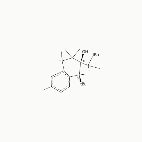 CC(C)(C)C(C)(C)[C@@]1(O)C(C)(C)C(C)(C)c2cc(F)ccc2[C@]1(C)C(C)(C)C